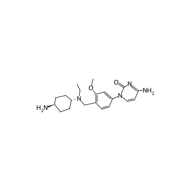 CCN(Cc1ccc(-n2ccc(N)nc2=O)cc1OC)[C@H]1CC[C@H](N)CC1